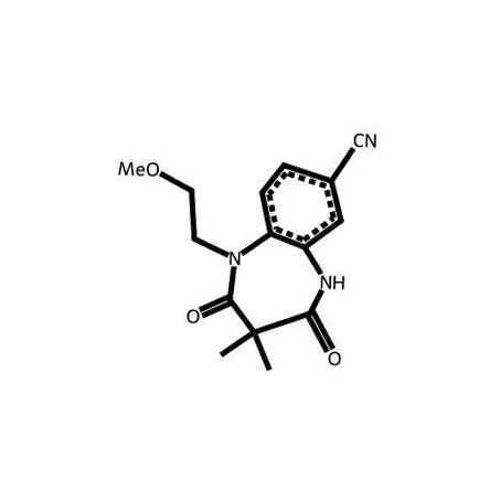 COCCN1C(=O)C(C)(C)C(=O)Nc2cc(C#N)ccc21